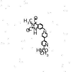 CCN1C(=C=O)Nc2cc(CN3CC=C(c4ccc(C(=O)NC)nc4)CC3)ccc2C1=C=O